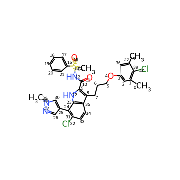 Cc1cc(OCCCc2c(C(=O)N[SH](C)(=O)c3ccccc3)[nH]c3c(-c4cnn(C)c4)c(Cl)ccc23)cc(C)c1Cl